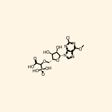 COc1nc(Cl)nc2c1ncn2[C@@H]1O[C@H](COC(C(=O)O)P(=O)(O)O)[C@@H](O)[C@H]1O